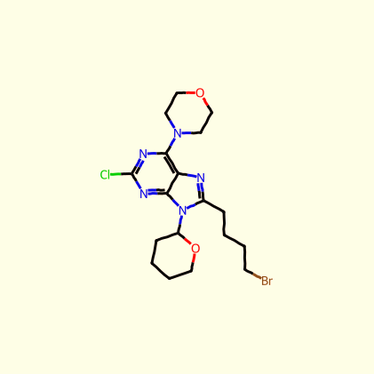 Clc1nc(N2CCOCC2)c2nc(CCCCBr)n(C3CCCCO3)c2n1